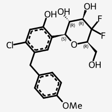 COc1ccc(Cc2cc([C@@H]3O[C@H](CO)C(F)(F)[C@H](O)[C@H]3O)c(O)cc2Cl)cc1